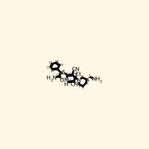 CCC1(N2CCC[C@@H](CN)C2)C(C#N)=CNC(SC(C(N)=O)c2ccccc2)=C1C#N